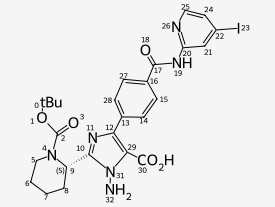 CC(C)(C)OC(=O)N1CCCC[C@H]1c1nc(-c2ccc(C(=O)Nc3cc(I)ccn3)cc2)c(C(=O)O)n1N